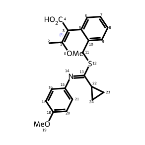 CO/C(C)=C(/C(=O)O)c1ccccc1CSC(=Nc1ccc(OC)cc1)C1CC1